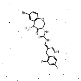 CN1C(=O)[C@@H](NC(=O)N/C=C(\C=N)Cc2ccc(F)cc2F)COc2ccc(Br)cc21